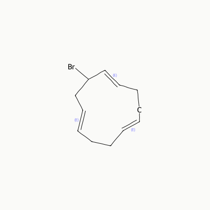 BrC1/C=C/CC/C=C/CC/C=C/C1